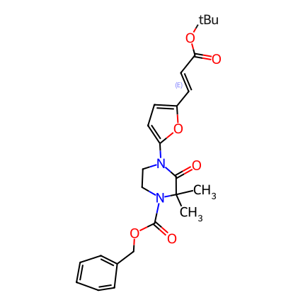 CC(C)(C)OC(=O)/C=C/c1ccc(N2CCN(C(=O)OCc3ccccc3)C(C)(C)C2=O)o1